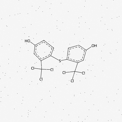 Oc1ccc(Sc2ccc(O)cc2C(Cl)(Cl)Cl)c(C(Cl)(Cl)Cl)c1